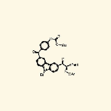 CCCCCC(=NOC(C)=O)C(=O)c1ccc2c(c1)c1cc(C(=O)c3ccc(OC(=O)OCCCC)cc3)ccc1n2CC